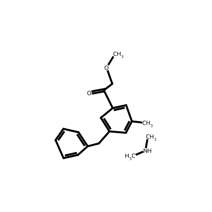 CNC.COCC(=O)c1cc(C)cc(Cc2ccccc2)c1